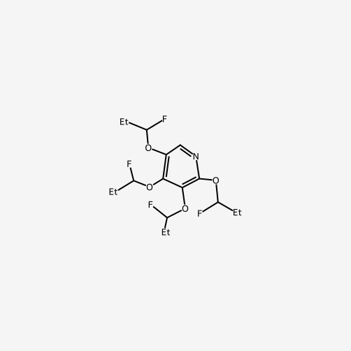 CCC(F)Oc1cnc(OC(F)CC)c(OC(F)CC)c1OC(F)CC